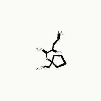 C=CCC(=C)C(=C)OC1(CC)CCCC1